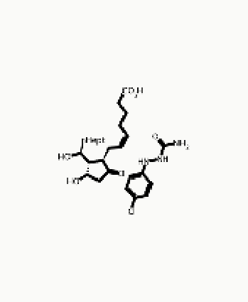 CCCCCCC[C@H](O)[C@H]1C(O)CC(=O)[C@@H]1C/C=C\CCCC(=O)O.NC(=O)NNc1ccc(Cl)cc1